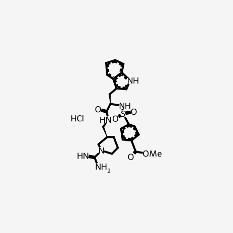 COC(=O)c1ccc(S(=O)(=O)N[C@H](Cc2c[nH]c3ccccc23)C(=O)NC[C@H]2CCCN(C(=N)N)C2)cc1.Cl